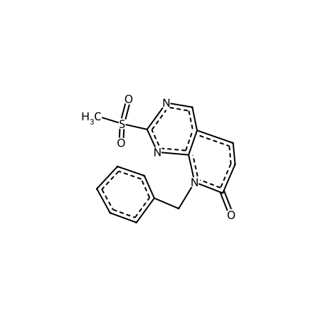 CS(=O)(=O)c1ncc2ccc(=O)n(Cc3ccccc3)c2n1